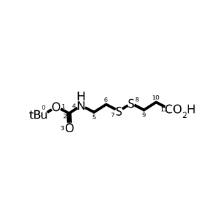 CC(C)(C)OC(=O)NCCSSCCC(=O)O